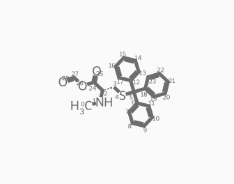 CN[C@@H](CSC(c1ccccc1)(c1ccccc1)c1ccccc1)C(=O)OC=O